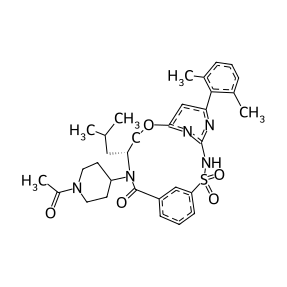 CC(=O)N1CCC(N2C(=O)c3cccc(c3)S(=O)(=O)Nc3nc(cc(-c4c(C)cccc4C)n3)OC[C@H]2CC(C)C)CC1